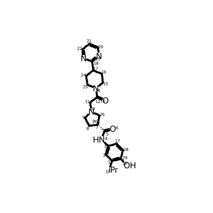 CC(C)c1cc(NC(=O)[C@@H]2CCN(CC(=O)N3CCC(c4ncccn4)CC3)C2)ccc1O